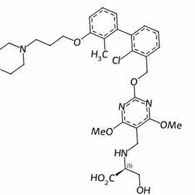 COc1nc(OCc2cccc(-c3cccc(OCCCN4CCOCC4)c3C)c2Cl)nc(OC)c1CN[C@@H](CO)C(=O)O